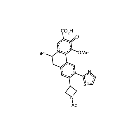 COc1c2n(cc(C(=O)O)c1=O)C(C(C)C)Cc1cc(C3CN(C(C)=O)C3)c(-c3nccs3)cc1-2